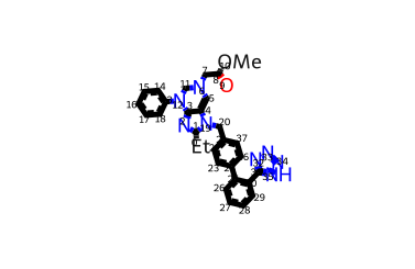 CCC1N=C2C(=CN(CC(=O)OC)CN2c2ccccc2)N1Cc1ccc(-c2ccccc2-c2nnn[nH]2)cc1